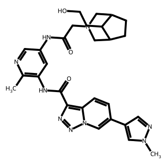 Cc1ncc(NC(=O)CN2CC3CCC(C2)C3CCO)cc1NC(=O)c1nnn2cc(-c3cnn(C)c3)ccc12